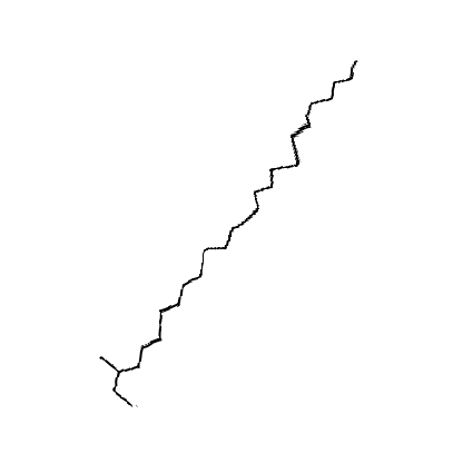 [CH2]CC(C)CCCCCCCCCCCCCCCCCCCCCC